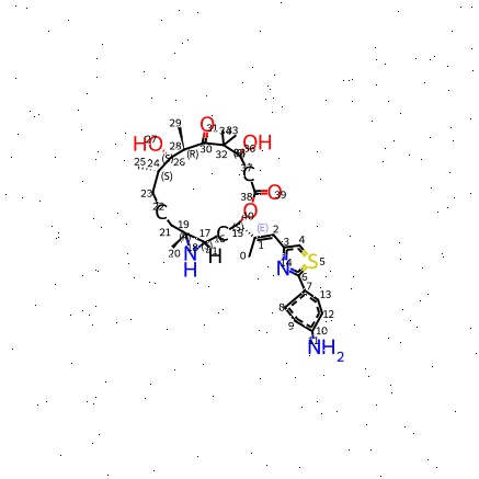 C/C(=C\c1csc(-c2ccc(N)cc2)n1)[C@@H]1C[C@@H]2N[C@]2(C)CCC[C@H](C)[C@H](O)[C@@H](C)C(=O)C(C)(C)[C@@H](O)CC(=O)O1